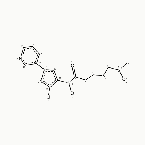 CCN(C(=O)CCSC[S+](C)[O-])c1cn(-c2cccnc2)nc1Cl